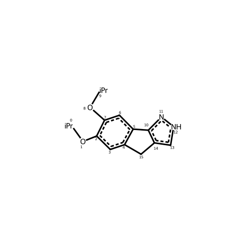 CC(C)Oc1cc2c(cc1OC(C)C)-c1n[nH]cc1C2